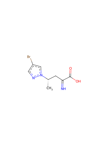 C[C@@H](CC(=N)C(=O)O)n1cc(Br)cn1